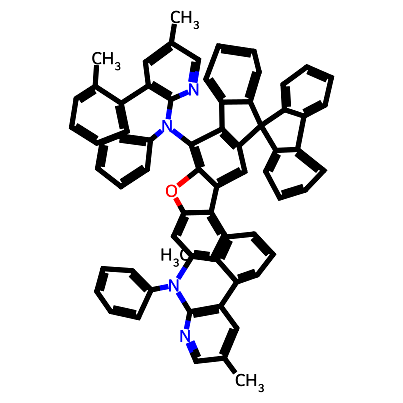 Cc1cnc(N(c2ccccc2)c2ccc3c(c2)oc2c(N(c4ccccc4)c4ncc(C)cc4-c4ccccc4C)c4c(cc23)C2(c3ccccc3-c3ccccc32)c2ccccc2-4)c(-c2ccccc2C)c1